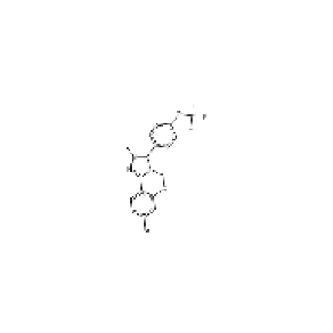 CN1N=C2c3ccc(Br)cc3OCC2C1c1ccc(OC(F)(F)F)cc1